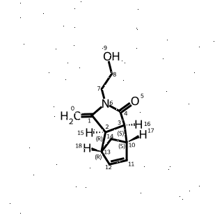 C=C1[C@H]2[C@@H](C(=O)N1CCO)[C@@H]1C=C[C@H]2C1